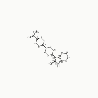 CC(C)(C)C(=O)N1CCN(C2CCC(n3c(=O)[nH]c4ccccc43)CC2)CC1